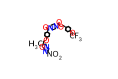 C[C@]1(COc2ccc(C(=O)N3CCN(C(=O)OCc4ccc(OC(F)(F)F)cc4)CC3)cc2)Cn2cc([N+](=O)[O-])nc2O1